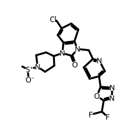 C[S+]([O-])N1CCC(n2c(=O)n(Cc3ccc(-c4nnc(C(F)F)o4)cn3)c3ccc(Cl)cc32)CC1